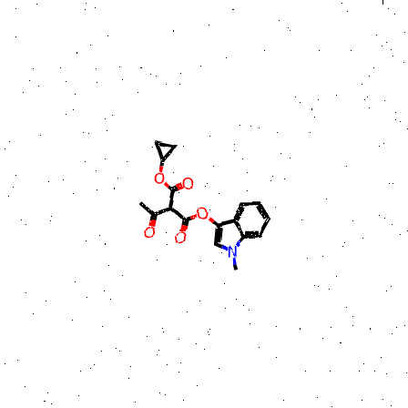 CC(=O)C(C(=O)Oc1cn(C)c2ccccc12)C(=O)OC1CC1